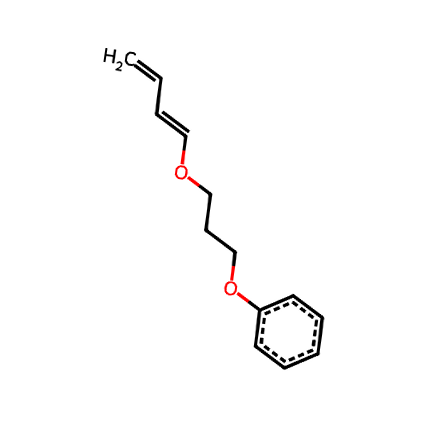 C=CC=COCCCOc1ccccc1